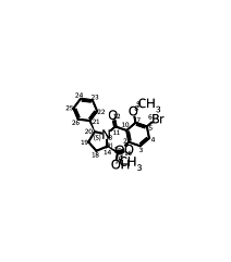 COc1ccc(Br)c(OC)c1C(=O)N1[C@@H](C(=O)O)CC[C@H]1c1ccccc1